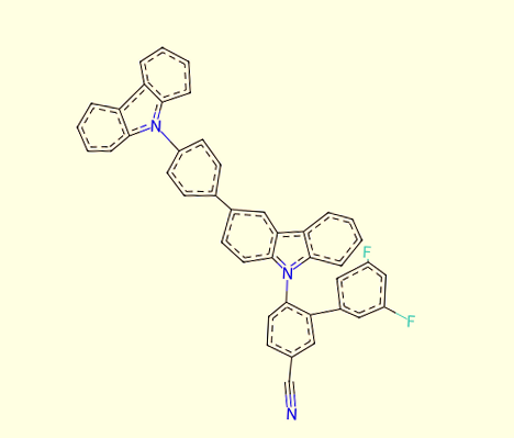 N#Cc1ccc(-n2c3ccccc3c3cc(-c4ccc(-n5c6ccccc6c6ccccc65)cc4)ccc32)c(-c2cc(F)cc(F)c2)c1